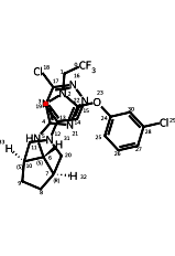 FC(F)(F)Cn1nc(N[C@@H]2[C@@H]3CC[C@H]2CN(c2cnnc(Cl)c2)C3)nc1Oc1cccc(Cl)c1